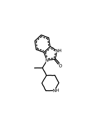 CC(C1CCNCC1)n1c(=O)[nH]c2ccccc21